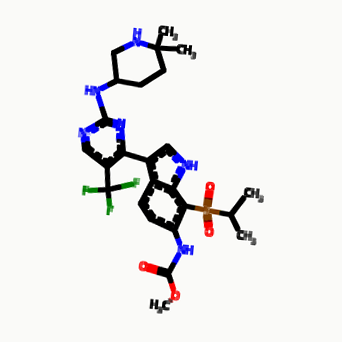 COC(=O)Nc1ccc2c(-c3nc(NC4CCC(C)(C)NC4)ncc3C(F)(F)F)c[nH]c2c1S(=O)(=O)C(C)C